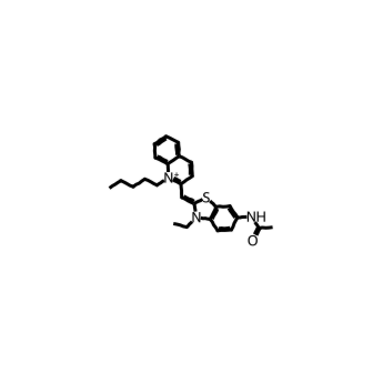 CCCCC[n+]1c(/C=C2\Sc3cc(NC(C)=O)ccc3N2CC)ccc2ccccc21